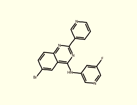 Fc1cncc(Nc2nc(-c3cccnc3)nc3ccc(Br)cc23)c1